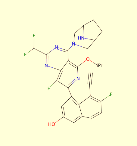 C#Cc1c(F)ccc2cc(O)cc(-c3nc(OC(C)C)c4c(N5CC6CCC(C5)N6)nc(C(F)F)nc4c3F)c12